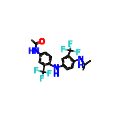 CC(=O)Nc1ccc(Nc2ccc(NC(C)C)c(C(F)(F)F)c2)c(C(F)(F)F)c1